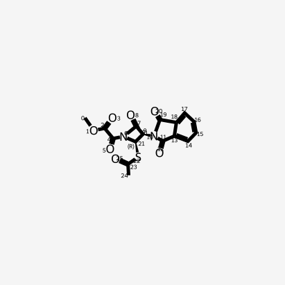 COC(=O)C(=O)N1C(=O)[C@@H](N2C(=O)c3ccccc3C2=O)[C@H]1SC(C)=O